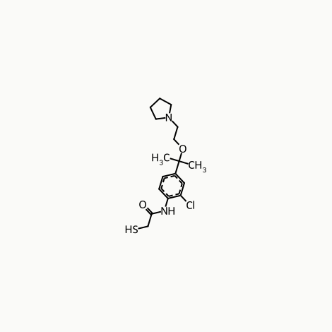 CC(C)(OCCN1CCCC1)c1ccc(NC(=O)CS)c(Cl)c1